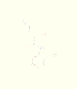 COc1ccccc1NC(=O)C(O)CC(N)=O